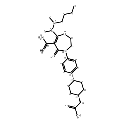 CCCCN(C)N(C)C1=C(C(=N)N)C(=O)N(c2ccc([C@H]3CC[C@H](CC(=O)O)CC3)cc2)CCO1